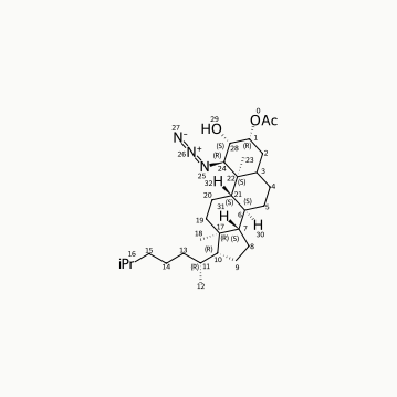 CC(=O)O[C@@H]1CC2CC[C@H]3[C@@H]4CC[C@H]([C@H](C)CCCC(C)C)[C@@]4(C)CC[C@@H]3[C@@]2(C)[C@@H](N=[N+]=[N-])[C@@H]1O